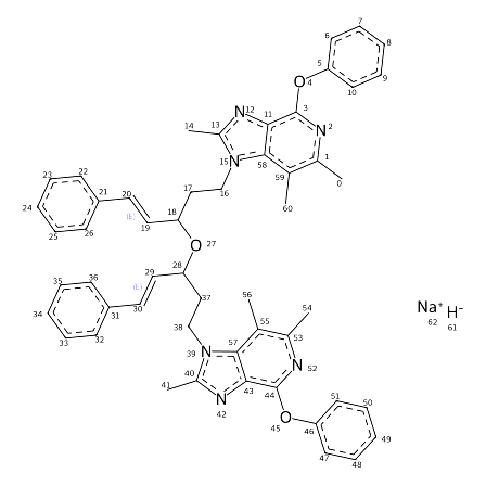 Cc1nc(Oc2ccccc2)c2nc(C)n(CCC(/C=C/c3ccccc3)OC(/C=C/c3ccccc3)CCn3c(C)nc4c(Oc5ccccc5)nc(C)c(C)c43)c2c1C.[H-].[Na+]